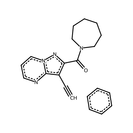 C#Cc1c(C(=O)N2CCCCCC2)nn2cccnc12.c1ccccc1